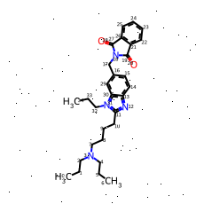 CCCN(CCC)CCCCc1nc2ccc(CN3C(=O)c4ccccc4C3=O)cc2n1CCC